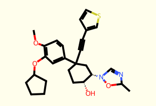 COc1ccc(C2(C#Cc3ccsc3)CC[C@@H](O)[C@@H](N3C=NC(C)O3)C2)cc1OC1CCCC1